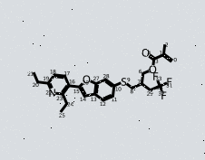 C=C(C)C(=O)OCC(CSc1ccc2cc(-c3ccc(CC)nc3CC)oc2c1)CC(F)(F)F